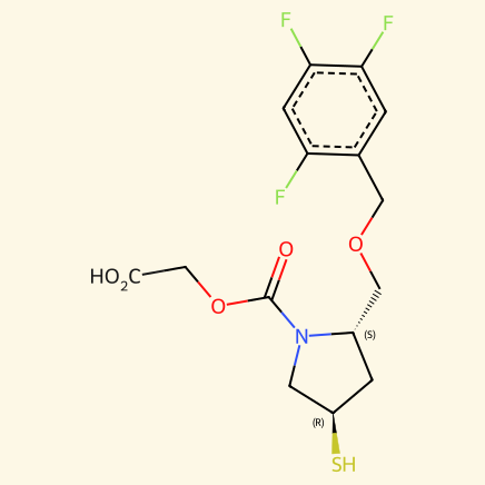 O=C(O)COC(=O)N1C[C@H](S)C[C@H]1COCc1cc(F)c(F)cc1F